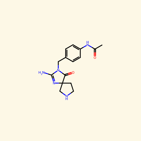 CC(=O)Nc1ccc(CN2C(=O)C3(CCNC3)N=C2N)cc1